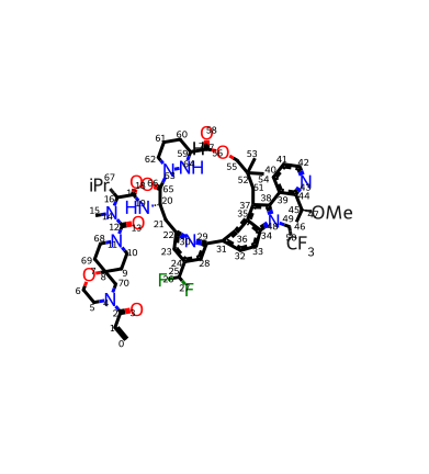 C=CC(=O)N1CCOC2(CCN(C(=O)N(C)C(C(=O)N[C@H]3Cc4cc(C(F)F)cc(n4)-c4ccc5c(c4)c(c(-c4cccnc4[C@H](C)OC)n5CC(F)(F)F)CC(C)(C)COC(=O)[C@@H]4CCCN(N4)C3=O)C(C)C)CC2)C1